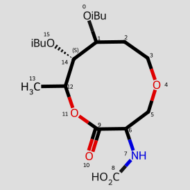 CC(C)COC1CCOCC(NC(=O)O)C(=O)OC(C)[C@@H]1OCC(C)C